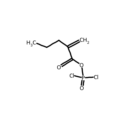 C=C(CCC)C(=O)OP(=O)(Cl)Cl